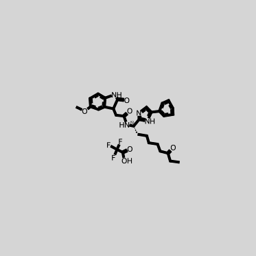 CCC(=O)CCCCC[C@H](NC(=O)CC1C(=O)Nc2ccc(OC)cc21)c1ncc(-c2ccccc2)[nH]1.O=C(O)C(F)(F)F